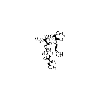 C=C(C)C(=O)OC.C=C(C)C(=O)OCCO.C=CC(=O)NCO